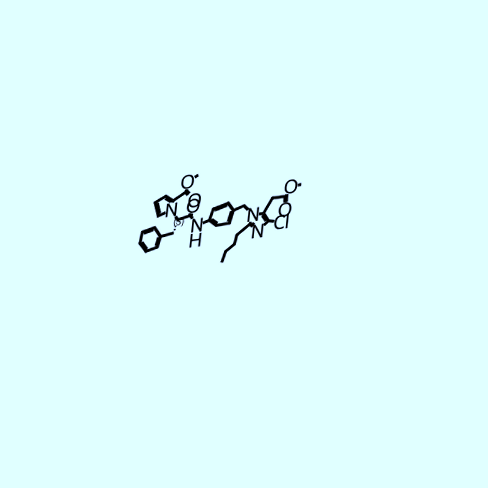 CCCCc1nc(Cl)c(CC(=O)OC)n1Cc1ccc(NC(=O)[C@H](Cc2ccccc2)n2cccc2C(=O)OC)cc1